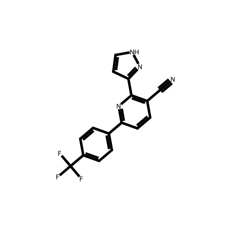 N#Cc1ccc(-c2ccc(C(F)(F)F)cc2)nc1-c1cc[nH]n1